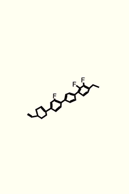 C=CC1CC=C(c2ccc(-c3ccc(-c4ccc(CC)c(F)c4F)cc3)c(F)c2)CC1